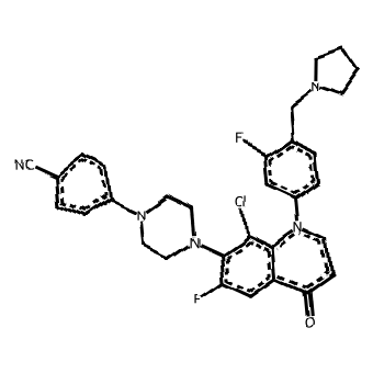 N#Cc1ccc(N2CCN(c3c(F)cc4c(=O)ccn(-c5ccc(CN6CCCC6)c(F)c5)c4c3Cl)CC2)cc1